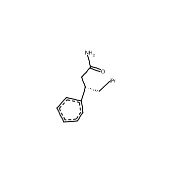 CC(C)C[C@@H](CC(N)=O)c1ccccc1